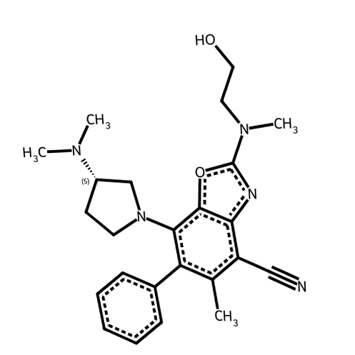 Cc1c(-c2ccccc2)c(N2CC[C@H](N(C)C)C2)c2oc(N(C)CCO)nc2c1C#N